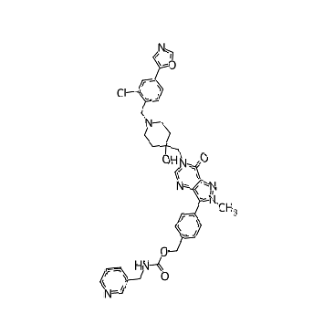 Cn1nc2c(=O)n(CC3(O)CCN(Cc4ccc(-c5cnco5)cc4Cl)CC3)cnc2c1-c1ccc(COC(=O)NCc2cccnc2)cc1